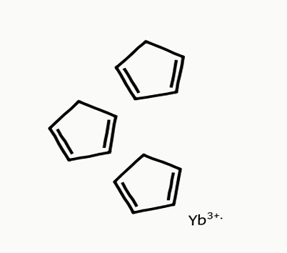 C1=CCC=C1.C1=CCC=C1.C1=CCC=C1.[Yb+3]